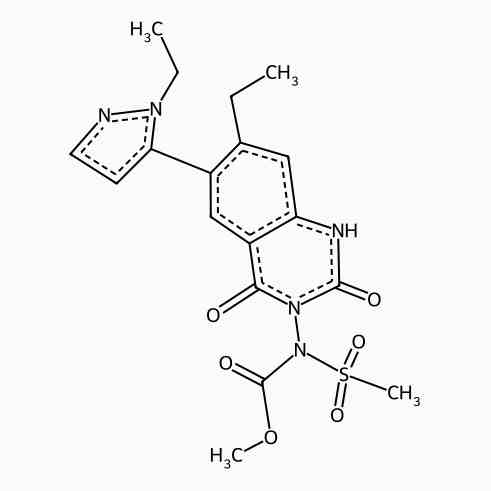 CCc1cc2[nH]c(=O)n(N(C(=O)OC)S(C)(=O)=O)c(=O)c2cc1-c1ccnn1CC